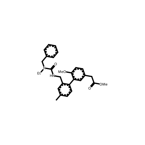 CCN(Cc1ccccc1)C(=O)NCc1cc(C)ccc1-c1cc(CC(=O)OC)ccc1OC